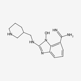 N=C(N)c1cccc2nc(NCC3CCCNC3)n(O)c12